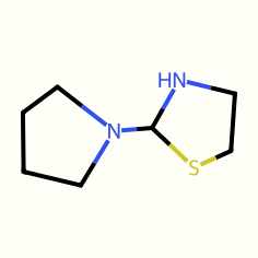 C1CCN(C2NCCS2)C1